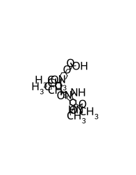 CCOc1cc2c(cc1C(=O)NC)C(=N)N(CC(=O)c1cc(N3CCC(OCC(=O)O)CC3)c(OC)c(C(C)(C)C)c1)C2